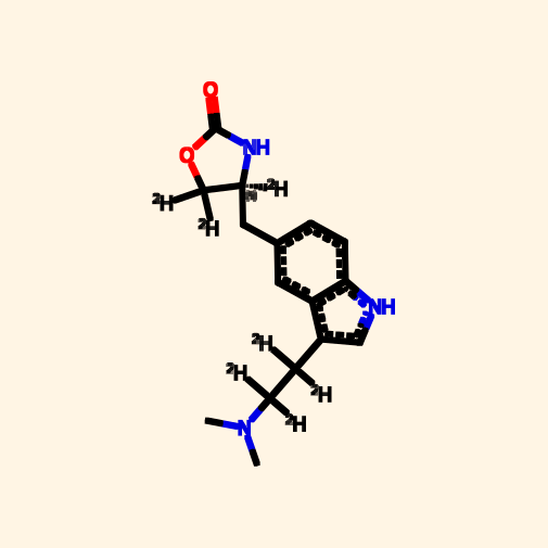 [2H]C([2H])(c1c[nH]c2ccc(C[C@]3([2H])NC(=O)OC3([2H])[2H])cc12)C([2H])([2H])N(C)C